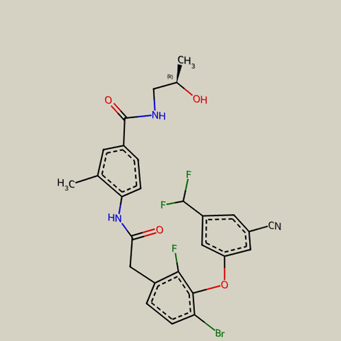 Cc1cc(C(=O)NC[C@@H](C)O)ccc1NC(=O)Cc1ccc(Br)c(Oc2cc(C#N)cc(C(F)F)c2)c1F